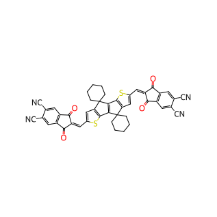 N#Cc1cc2c(cc1C#N)C(=O)C(=Cc1cc3c(s1)C1=C(c4sc(C=C5C(=O)c6cc(C#N)c(C#N)cc6C5=O)cc4C14CCCCC4)C31CCCCC1)C2=O